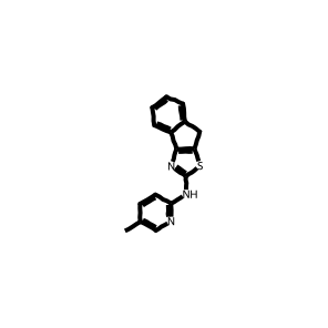 Cc1ccc(Nc2nc3c(s2)Cc2ccccc2-3)nc1